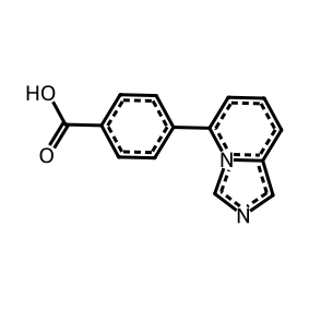 O=C(O)c1ccc(-c2cccc3cncn23)cc1